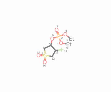 CCOP(=O)(OCC)OC1CS(=O)(=O)CC1F